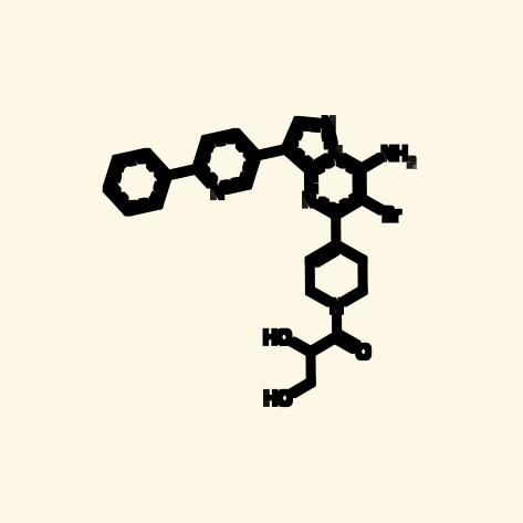 Nc1c(Br)c(C2=CCN(C(=O)C(O)CO)CC2)nc2c(-c3ccc(-c4ccccc4)nc3)cnn12